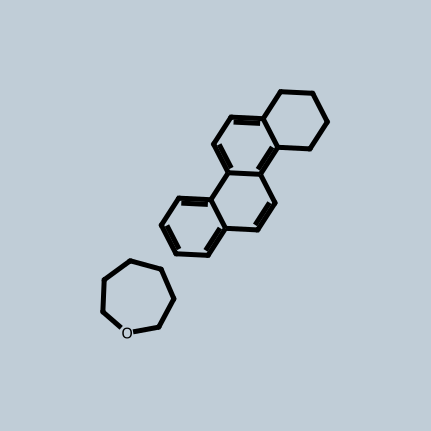 C1CCCOCC1.c1ccc2c(c1)ccc1c3c(ccc12)CCCC3